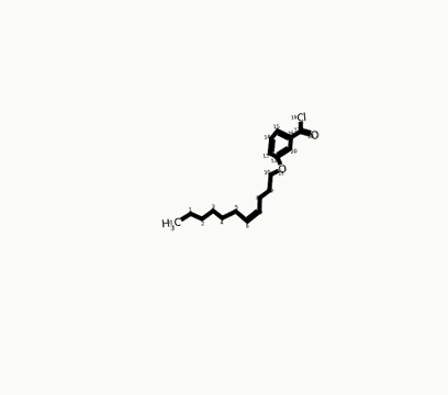 CCCCCC/C=C\CCCOc1cccc(C(=O)Cl)c1